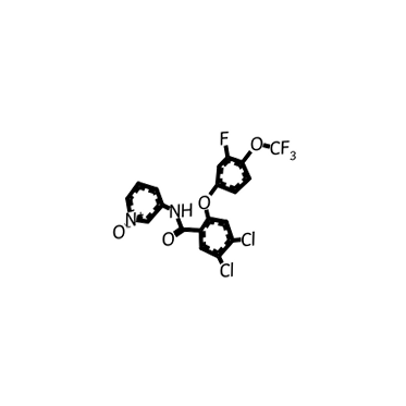 O=C(Nc1ccc[n+]([O-])c1)c1cc(Cl)c(Cl)cc1Oc1ccc(OC(F)(F)F)c(F)c1